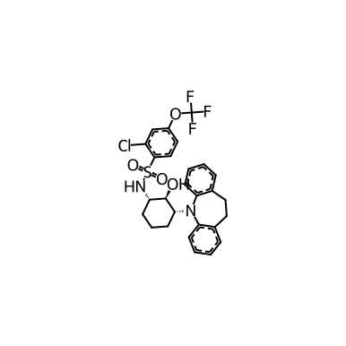 O=S(=O)(N[C@H]1CCC[C@@H](N2c3ccccc3CCc3ccccc32)[C@@H]1O)c1ccc(OC(F)(F)F)cc1Cl